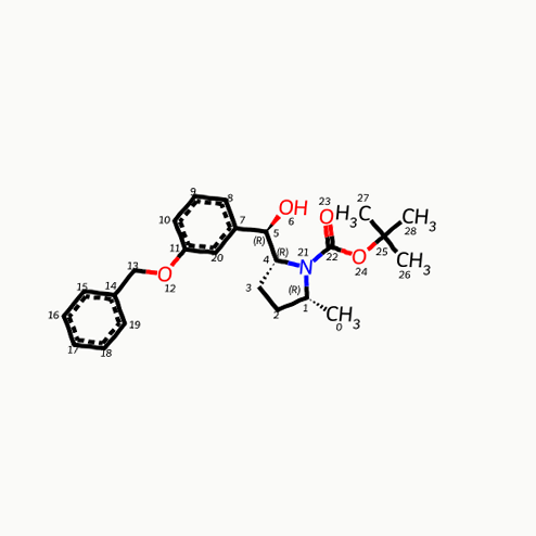 C[C@@H]1CC[C@H]([C@H](O)c2cccc(OCc3ccccc3)c2)N1C(=O)OC(C)(C)C